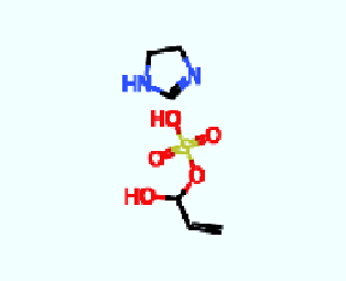 C1=NCCN1.C=CC(O)OS(=O)(=O)O